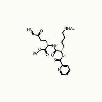 CC(=O)NCCCC[C@H](NC(=S)c1ccccn1)C(=O)N[C@@H](CCC(=O)C=N)C(=O)OC(C)C